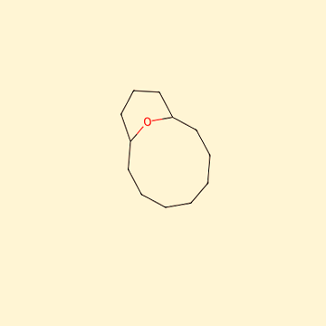 C1CCCC2CCCC(CCC1)O2